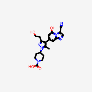 Cc1c(-c2cc(O)n3c(C#N)cnc3c2)c(CCO)nn1C1CCN(C(=O)O)CC1